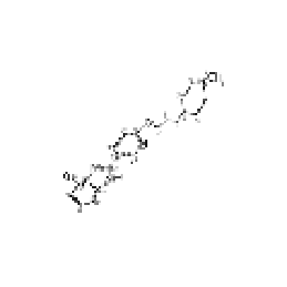 CN1CCC(CCCOc2ccc(-c3nc4c(Cl)cccc4[nH]3)cn2)CC1